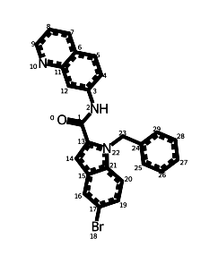 O=C(Nc1ccc2cccnc2c1)c1cc2cc(Br)ccc2n1Cc1ccccc1